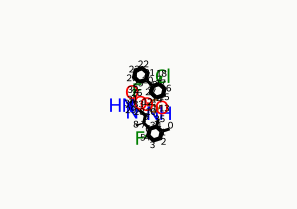 Cc1ccc(F)c([C@@H](C)[C@H](NS(=O)(=O)c2ccc(Cl)c(-c3ccccc3F)c2)c2n[nH]c(=O)o2)c1C